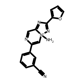 N#Cc1cccc(C2=C[N+]3(N)N=C(c4ccco4)N=C3C=N2)c1